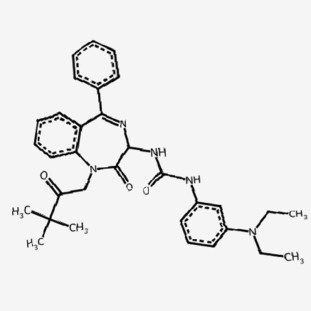 CCN(CC)c1cccc(NC(=O)NC2N=C(c3ccccc3)c3ccccc3N(CC(=O)C(C)(C)C)C2=O)c1